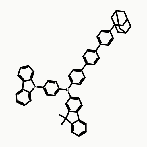 CC1(C)c2ccccc2-c2ccc(N(c3ccc(-c4ccc(-c5ccc(C67CC8CC(CC(C8)C6)C7)cc5)cc4)cc3)c3ccc(-n4c5ccccc5c5ccccc54)cc3)cc21